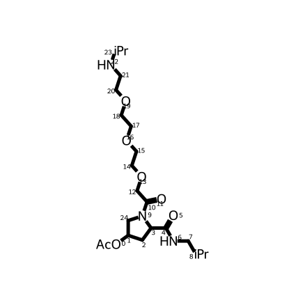 CC(=O)OC1CC(C(=O)NCC(C)C)N(C(=O)COCCOCCOCCNC(C)C)C1